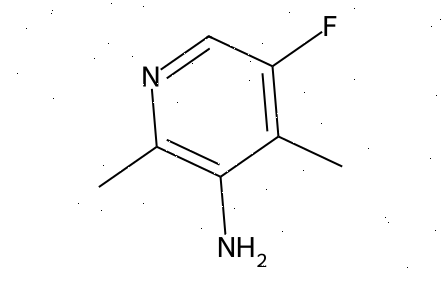 Cc1ncc(F)c(C)c1N